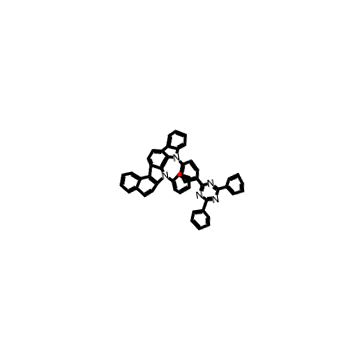 c1ccc(-c2nc(-c3ccccc3)nc(-c3ccc(-n4c5ccccc5c5ccc6c7c8ccccc8ccc7n(-c7ccccc7)c6c54)cc3)n2)cc1